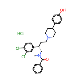 CN(C[C@@H](CCN1CCC(c2ccc(O)cc2)CC1)c1ccc(Cl)c(Cl)c1)C(=O)c1ccccc1.Cl